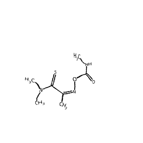 CNC(=O)ON=C(C)C(=S)N(C)C